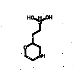 O[SiH](O)CCC1CNCCO1